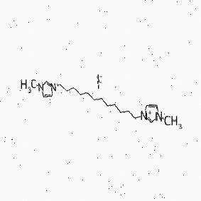 Cn1cc[n+](CCCCCCCCCCCC[n+]2ccn(C)c2)c1.[I-].[I-]